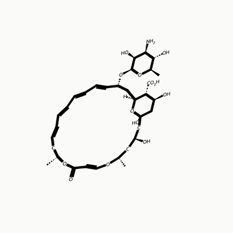 C[C@@H]1C/C=C/C=C/C=C/C=C/[C@H](O[C@@H]2O[C@H](C)[C@@H](O)[C@H](N)[C@@H]2O)C[C@@H]2O[C@](O)(C[C@@H](O)C[C@H](C)O/C=C/C(=O)O1)C[C@H](O)[C@H]2C(=O)O